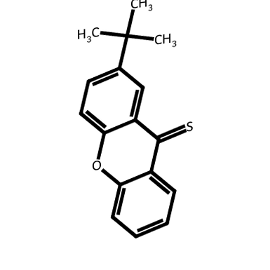 CC(C)(C)c1ccc2oc3ccccc3c(=S)c2c1